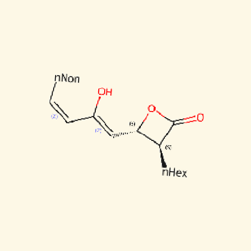 CCCCCCCCC/C=C\C(O)=C\[C@@H]1OC(=O)[C@H]1CCCCCC